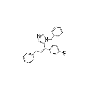 Fc1ccc(/C(=C/Cc2ccccc2)c2cncn2Cc2ccccc2)cc1